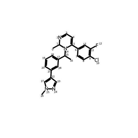 CC1N=CC=C(c2ccc(Cl)c(F)c2)N1C(C)c1cccc(-c2cnn(C)c2)c1